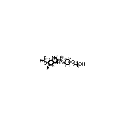 CC(C)(O)COC1CCC(NC(=O)c2cnc3cc(OC(F)F)c(F)cc3c2)CC1